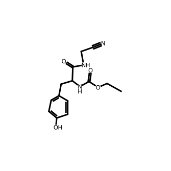 CCOC(=O)NC(Cc1ccc(O)cc1)C(=O)NCC#N